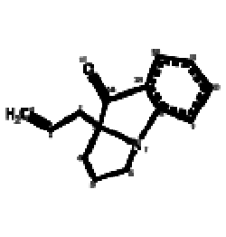 C=CCC12CCCN1c1ccccc1C2=O